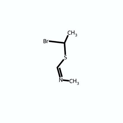 C/N=C\SC(C)Br